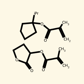 C=C(C)C(=O)OC1(C(C)C)CCCC1.C=C(C)C(=O)OC1CCOC1=O